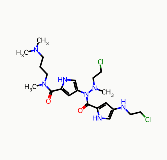 CN(C)CCCN(C)C(=O)c1cc(N(C(=O)c2cc(NCCCl)c[nH]2)N(C)CCCl)c[nH]1